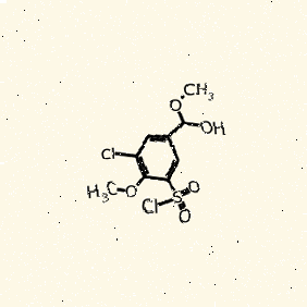 COc1c(Cl)cc(C(O)OC)cc1S(=O)(=O)Cl